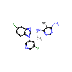 C[C@@H](Nc1ncnc(N)c1C#N)c1nc2cc(F)ccc2n1-c1cncc(F)c1